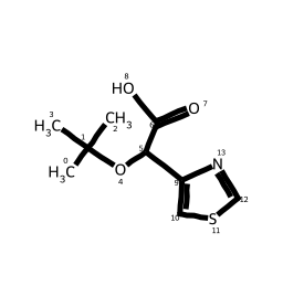 CC(C)(C)OC(C(=O)O)c1cscn1